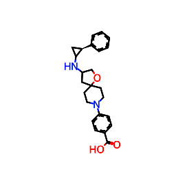 O=C(O)c1ccc(N2CCC3(CC2)CC(NC2C[C@H]2c2ccccc2)CO3)cc1